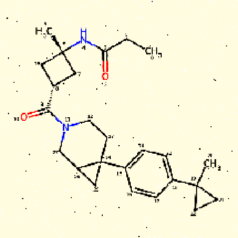 CCC(=O)N[C@]1(C)C[C@H](C(=O)N2CCC3(c4ccc(C5(C)CC5)cc4)CC3C2)C1